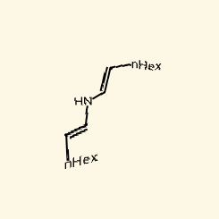 CCCCCCC=CNC=CCCCCCC